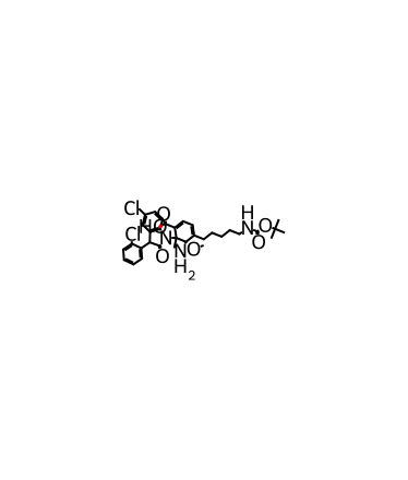 COC1(N)C(CCCCCNC(=O)OC(C)(C)C)=CC=C(C(=O)O)C1(C)N1C(=O)C(c2ccccc2Cl)c2cc(Cl)ccc21